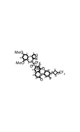 COc1ccc(CN(c2ccon2)S(=O)(=O)c2cc3ccc(=O)n(-c4cc(F)c(C5CC(C(F)(F)F)C5)cc4OC)c3cc2F)c(OC)c1